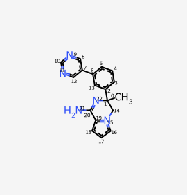 CC1(c2cccc(-c3cncnc3)c2)Cn2cccc2C(N)=N1